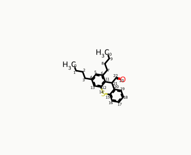 CCCCc1cc(CCCC)c2c(c1)Sc1ccccc1C2C=O